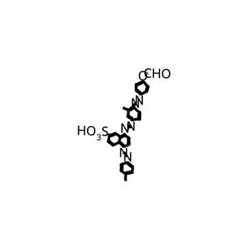 Cc1ccc(N=Nc2ccc(N=Nc3ccc(N=Nc4ccc(OC=O)cc4)c(C)c3)c3cc(S(=O)(=O)O)ccc23)cc1